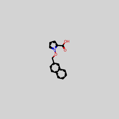 O=C(O)c1cccn1OCc1ccc2ccccc2c1